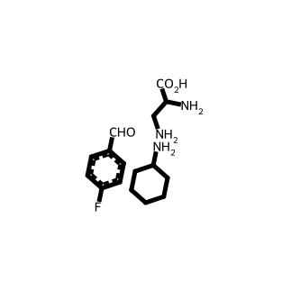 NC1CCCCC1.NCC(N)C(=O)O.O=Cc1ccc(F)cc1